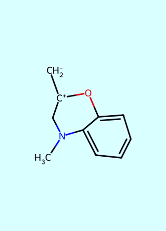 [CH2-][C+]1CN(C)c2ccccc2O1